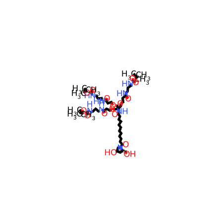 CC(C)(C)OC(=O)NCCCNC(=O)CCOCC(COCCC(=O)NCCCNC(=O)OC(C)(C)C)(COCCC(=O)NCCCNC(=O)OC(C)(C)C)NC(=O)CCCCCCCCCCC(=O)N1C[C@H](O)C[C@H]1CO